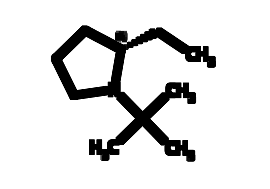 CC[C@H]1CCCN1C(C)(C)C